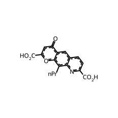 CCCc1c2nc(C(=O)O)ccc2cc2c(=O)cc(C(=O)O)oc12